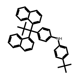 CC(C)(C)c1ccc(Nc2ccc(C(c3cccc4ccccc34)(c3cccc4ccccc34)C(C)(C)C)cc2)cc1